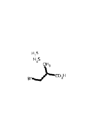 CC(CBr)C(=O)O.S.S